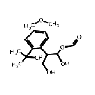 CC(C)(C)c1ccccc1C(CO)C(O)OC=O.COC